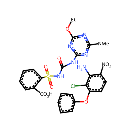 CCOc1nc(NC)nc(NC(=O)NS(=O)(=O)c2ccccc2C(=O)O)n1.Nc1c([N+](=O)[O-])ccc(Oc2ccccc2)c1Cl